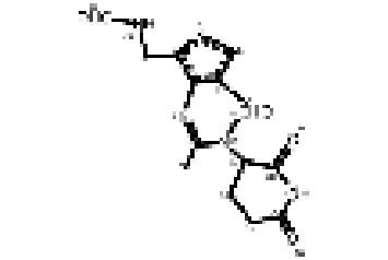 C/C(=N/c1c(C)csc1CNC=O)N(C=O)C1CCC(=O)NC1=O